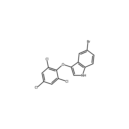 Clc1cc(Cl)c(Oc2c[nH]c3ccc(Br)cc23)c(Cl)c1